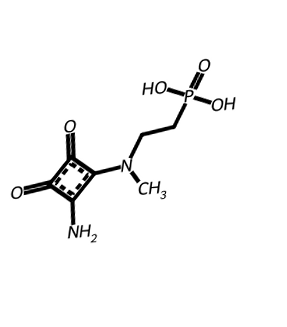 CN(CCP(=O)(O)O)c1c(N)c(=O)c1=O